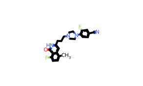 Cc1ccc(F)c2c(=O)[nH]c(CCCN3CCN(c4ccc(C#N)cc4F)CC3)cc12